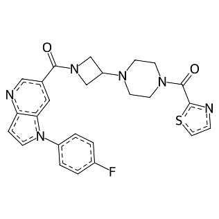 O=C(c1cnc2ccn(-c3ccc(F)cc3)c2c1)N1CC(N2CCN(C(=O)c3nccs3)CC2)C1